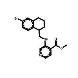 COC(=O)c1ccncc1NCC1CCCc2cc(Br)ccc21